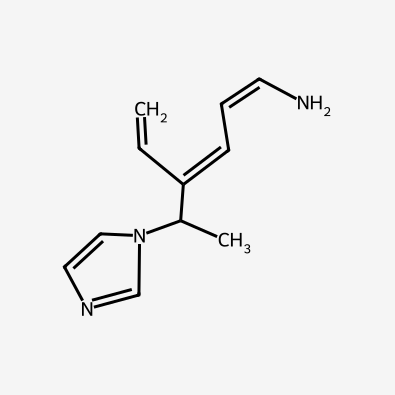 C=C/C(=C\C=C/N)C(C)n1ccnc1